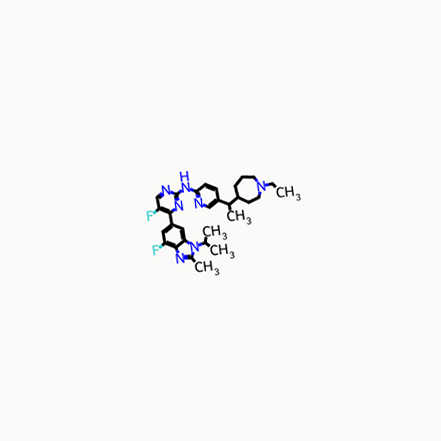 CCN1CCCC(C(C)c2ccc(Nc3ncc(F)c(-c4cc(F)c5nc(C)n(C(C)C)c5c4)n3)nc2)CC1